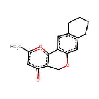 O=C(O)c1cc(=O)c2c(o1)-c1cc3c(cc1OC2)CCCC3